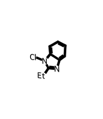 CCc1nc2ccccc2n1Cl